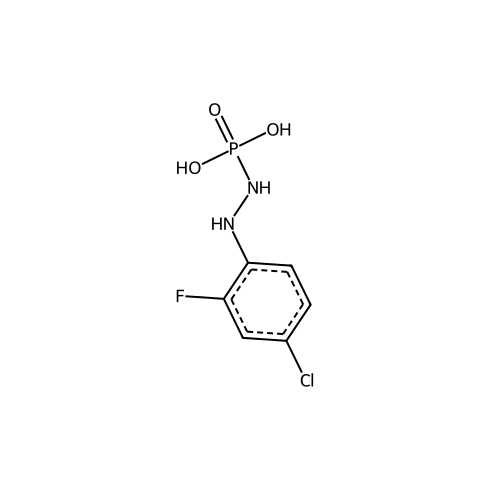 O=P(O)(O)NNc1ccc(Cl)cc1F